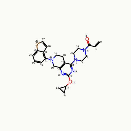 C=CC(=O)N1CCN(c2nc(OC3CC3)nc3c2CCN(c2cccc4sccc24)C3)CC1